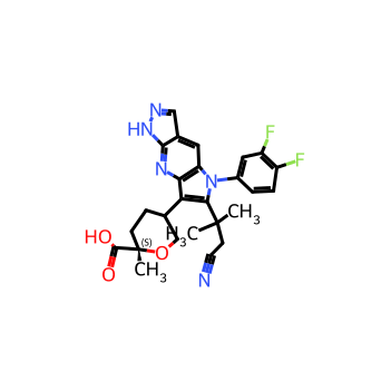 CC(C)(CC#N)c1c(C2CC[C@@](C)(C(=O)O)OC2)c2nc3[nH]ncc3cc2n1-c1ccc(F)c(F)c1